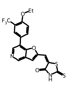 CCOc1ccc(-c2cncc3cc(/C=C4/SC(=S)NC4=O)oc23)cc1C(F)(F)F